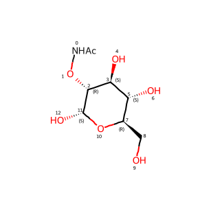 CC(=O)NO[C@@H]1[C@@H](O)[C@H](O)[C@@H](CO)O[C@@H]1O